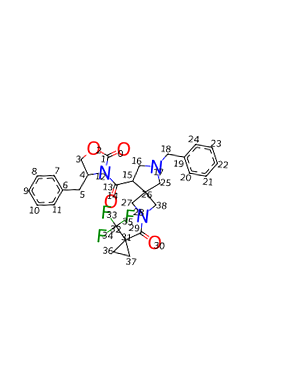 O=C1OCC(Cc2ccccc2)N1C(=O)C1CN(Cc2ccccc2)CC12CN(C(=O)C1(C(F)(F)F)CC1)C2